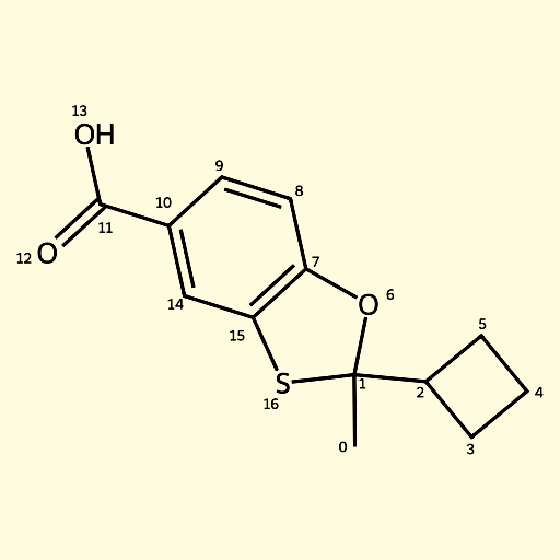 CC1(C2CCC2)Oc2ccc(C(=O)O)cc2S1